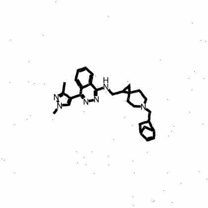 Cc1nn(C)cc1-c1nnc(NCC2CC23CCN(CC2CC4C=CC2C4)CC3)c2ccccc12